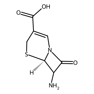 NC1C(=O)N2C=C(C(=O)O)CS[C@H]12